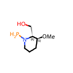 CO[C@H]1CCCN(P)[C@@H]1CO